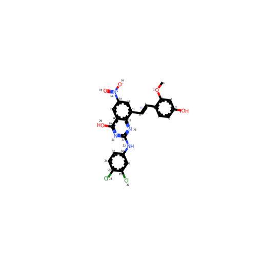 COc1cc(O)ccc1/C=C/c1cc([N+](=O)[O-])cc2c(O)nc(Nc3ccc(Cl)c(Cl)c3)nc12